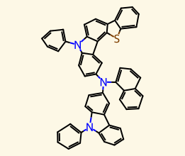 c1ccc(-n2c3ccccc3c3cc(N(c4ccc5c(c4)c4c6sc7ccccc7c6ccc4n5-c4ccccc4)c4cccc5ccccc45)ccc32)cc1